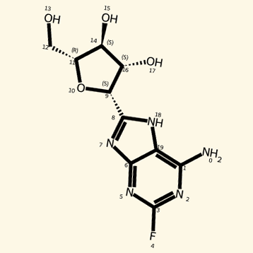 Nc1nc(F)nc2nc([C@@H]3O[C@H](CO)[C@@H](O)[C@@H]3O)[nH]c12